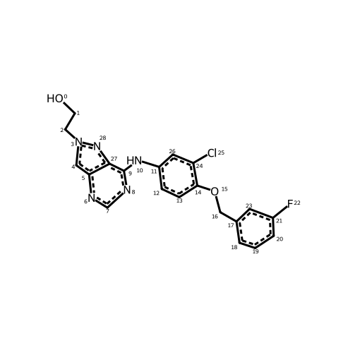 OCCn1cc2ncnc(Nc3ccc(OCc4cccc(F)c4)c(Cl)c3)c2n1